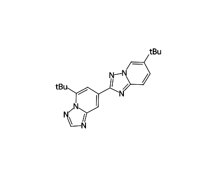 CC(C)(C)c1ccc2nc(-c3cc(C(C)(C)C)n4ncnc4c3)nn2c1